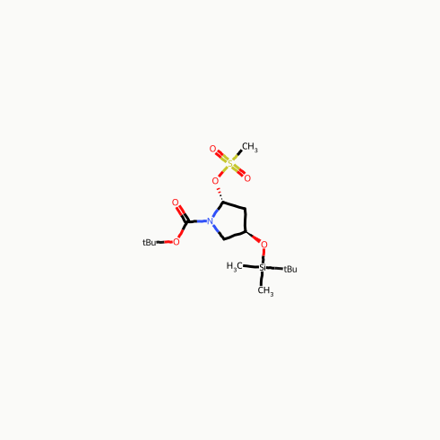 CC(C)(C)OC(=O)N1C[C@H](O[Si](C)(C)C(C)(C)C)C[C@H]1OS(C)(=O)=O